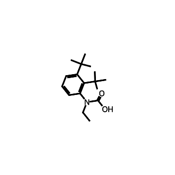 CCN(C(=O)O)c1cccc(C(C)(C)C)c1C(C)(C)C